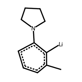 [Li][c]1c(C)cccc1N1CCCC1